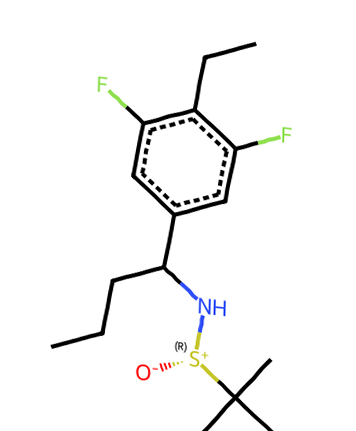 CCCC(N[S@@+]([O-])C(C)(C)C)c1cc(F)c(CC)c(F)c1